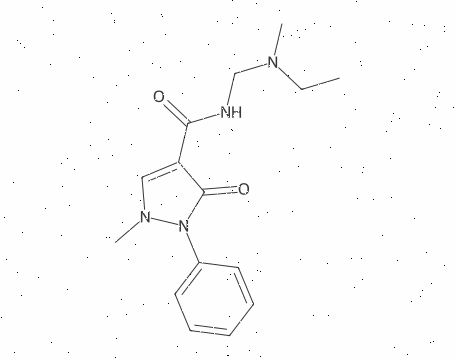 CCN(C)CNC(=O)c1cn(C)n(-c2ccccc2)c1=O